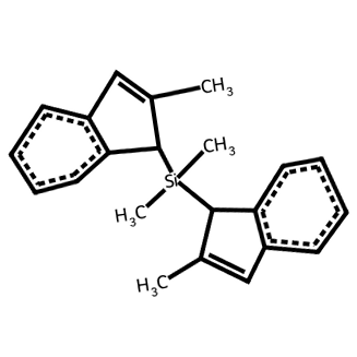 CC1=Cc2ccccc2C1[Si](C)(C)C1C(C)=Cc2ccccc21